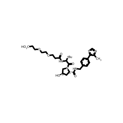 Cc1ncsc1-c1ccc(CNC(=O)[C@@H]2C[C@@H](O)CN2C(=O)C(NC(=O)CCOCCOCCC(=O)O)C(C)(C)C)cc1